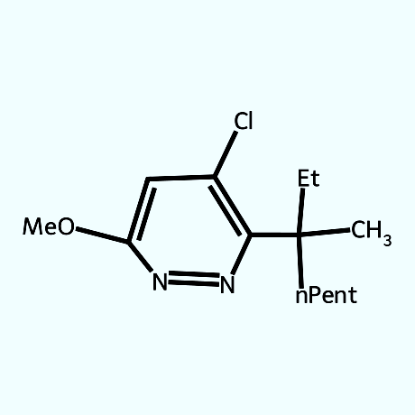 CCCCCC(C)(CC)c1nnc(OC)cc1Cl